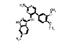 COc1ccc(-c2cnc(N)nc2Nc2n[nH]c3cc(C)ccc23)cc1OC